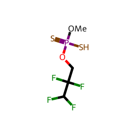 COP(=S)(S)OCC(F)(F)C(F)F